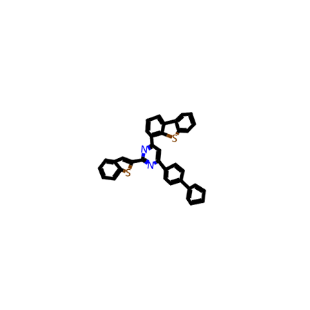 c1ccc(-c2ccc(-c3cc(-c4cccc5c4sc4ccccc45)nc(-c4cc5ccccc5s4)n3)cc2)cc1